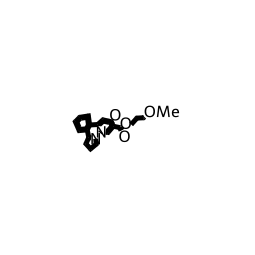 COCCCOC(=O)c1cn2c(cc1=O)-c1ccccc1C1CCCN12